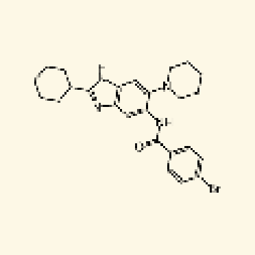 O=C(Nc1cc2nc(C3CCCCC3)[nH]c2cc1N1CCCCC1)c1ccc(Br)cc1